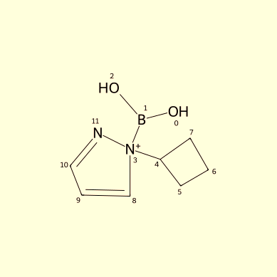 OB(O)[N+]1(C2CCC2)C=CC=N1